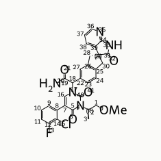 COC[C@@H](C)n1c(=O)c(-c2cccc(F)c2Cl)cn(C(C(N)=O)c2ccc3c(c2)C[C@@]2(C3)C(=O)Nc3ncccc32)c1=O